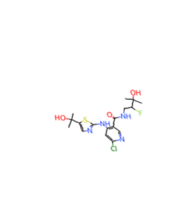 CC(C)(O)c1cnc(Nc2cc(Cl)ncc2C(=O)NCC(F)C(C)(C)O)s1